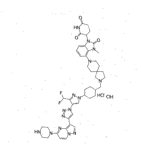 Cl.Cl.Cn1c(=O)n(C2CCC(=O)NC2=O)c2cccc(N3CCC4(CCN(CC5CCC(n6cc(-n7cc(-c8cnn9ccc(N%10CCNCC%10)nc89)nn7)c(C(F)F)n6)CC5)C4)CC3)c21